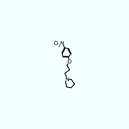 O=[N+]([O-])c1ccc(OCCCN2CCCCC2)cc1